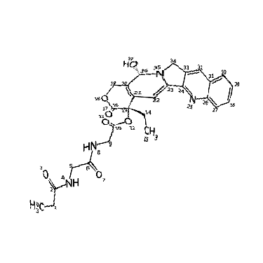 CCC(=O)NCC(=O)NCC(=O)O[C@]1(CC)C(=O)OCC2=C1C=C1c3nc4ccccc4cc3CN1[C@H]2O